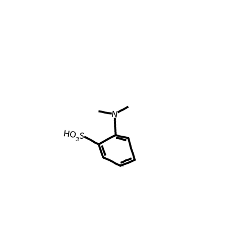 CN(C)c1cc[c]cc1S(=O)(=O)O